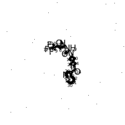 CN(C(=O)Nc1cc(C(C)(C)C(F)(F)F)on1)C1CC2(C1)CN(C(=O)c1cnn3ccccc13)C2